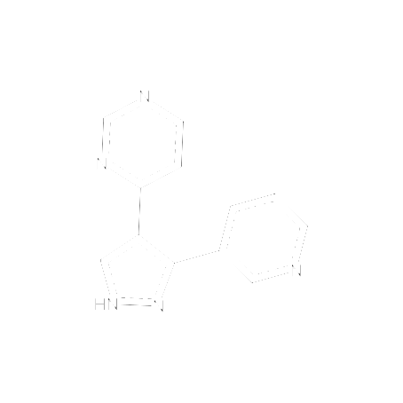 c1cncc(-c2n[nH]cc2-c2ccncn2)c1